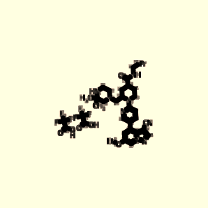 CCOc1cc(-c2ccc(N3CCC(C(=O)NCC(C)C)CC3CN3CCNC(C)(C)C3)nc2)c2c(C#N)cnn2c1.O=C(O)C(F)(F)F.O=C(O)C(F)(F)F